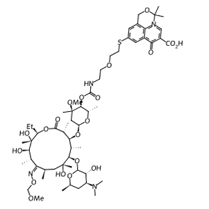 CC[C@H]1OC(=O)[C@H](C)[C@@H](O[C@H]2C[C@@](C)(OC)[C@@H](OC(=O)NCCOCCSc3cc4c5c(c3)c(=O)c(C(=O)O)cn5C(C)(C)OC4)[C@H](C)O2)[C@H](C)[C@@H](OC2O[C@H](C)C[C@H](N(C)C)[C@H]2O)[C@](C)(O)C[C@@H](C)/C(=N\OCOC)[C@H](C)[C@@H](O)[C@]1(C)O